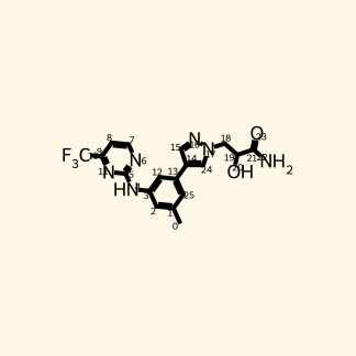 Cc1cc(Nc2nccc(C(F)(F)F)n2)cc(-c2cnn(CC(O)C(N)=O)c2)c1